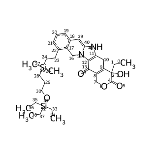 CCC1(O)C(=O)OCC2=C1CC1=C(C2=O)N2Cc3c(cccc3CC[Si](C)(C)CCCO[Si](CC)(CC)CC)C=C2N1